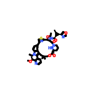 CCO[C@@H]1c2nc(cs2)-c2ccc3c(c2)c(c(-c2cccnc2[C@H](C)OC)n3CC)CC(C)(C)COC(=O)[C@@H]2CCCN(N2)C(=O)[C@H]1NC(=O)[C@@H]1[C@@H](C)[C@H]1c1cocn1